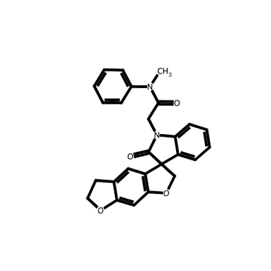 CN(C(=O)CN1C(=O)C2(COc3cc4c(cc32)CCO4)c2ccccc21)c1ccccc1